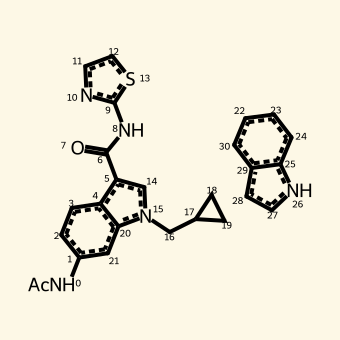 CC(=O)Nc1ccc2c(C(=O)Nc3nccs3)cn(CC3CC3)c2c1.c1ccc2[nH]ccc2c1